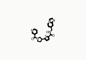 O=C(NCc1ccn2ccnc2c1)c1ccc(C2CCN(C(=O)c3cccnc3)C2)s1